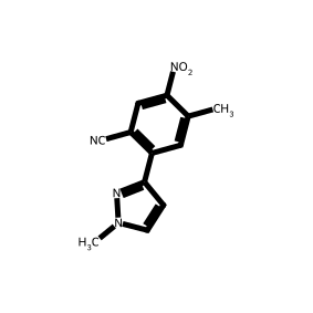 Cc1cc(-c2ccn(C)n2)c(C#N)cc1[N+](=O)[O-]